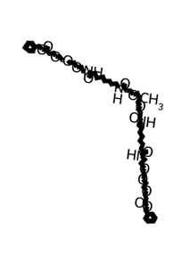 CC(COCCC(=O)NCCCCCCCC(=O)NCCOCCOCCOCCC(=O)OCc1ccccc1)COCCC(=O)NCCCCCCCC(=O)NCCOCCOCCOCCC(=O)OCc1ccccc1